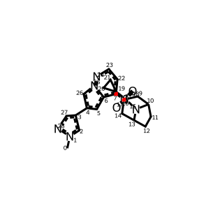 Cn1cc(-c2cc3c(N4CC5CCC(C4)N5S(=O)(=O)C4CC4)ccnn3c2)cn1